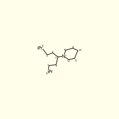 CC(C)CCC(CCC(C)C)N1CCCCC1